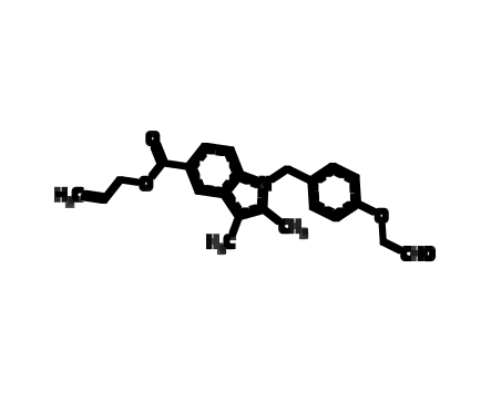 C=CCOC(=O)c1ccc2c(c1)c(C)c(C)n2Cc1ccc(OCC=O)cc1